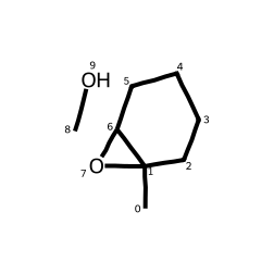 CC12CCCCC1O2.CO